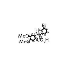 COc1cc(NC(=O)c2cccc(Br)c2)c(C(=O)O)cc1OC